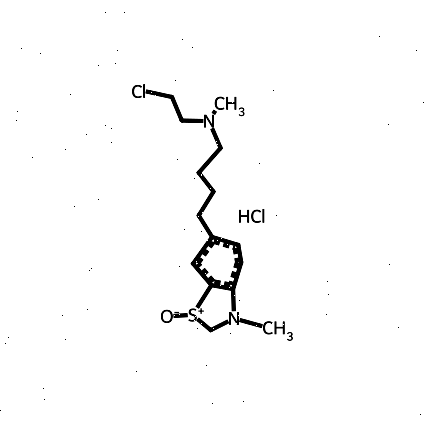 CN(CCCl)CCCCc1ccc2c(c1)[S+]([O-])CN2C.Cl